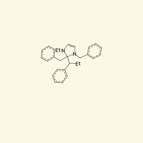 CCC(c1ccccc1)C1(Cc2ccccc2)N(CC)C=CN1Cc1ccccc1